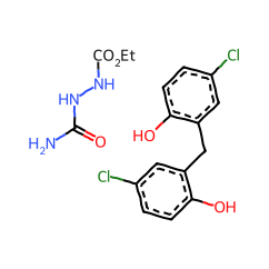 CCOC(=O)NNC(N)=O.Oc1ccc(Cl)cc1Cc1cc(Cl)ccc1O